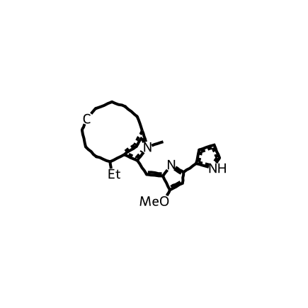 CCC1CCCCCCCCc2cc1c(C=C1N=C(c3ccc[nH]3)C=C1OC)n2C